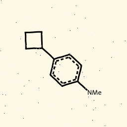 CNc1ccc(C2CCC2)cc1